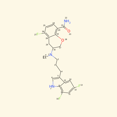 CCN(CCCc1c[nH]c2c(F)cc(F)cc12)C1COc2c(C(N)=O)ccc(F)c2C1